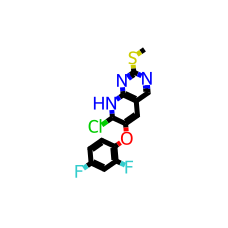 CSc1ncc2c(n1)NC(Cl)C(Oc1ccc(F)cc1F)=C2